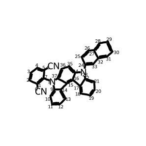 N#Cc1cccc(C#N)c1-n1c2ccccc2c2c3c4ccccc4n(-c4ccc5ccccc5c4)c3ccc21